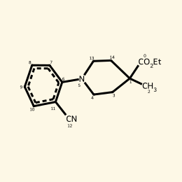 CCOC(=O)C1(C)CCN(c2ccccc2C#N)CC1